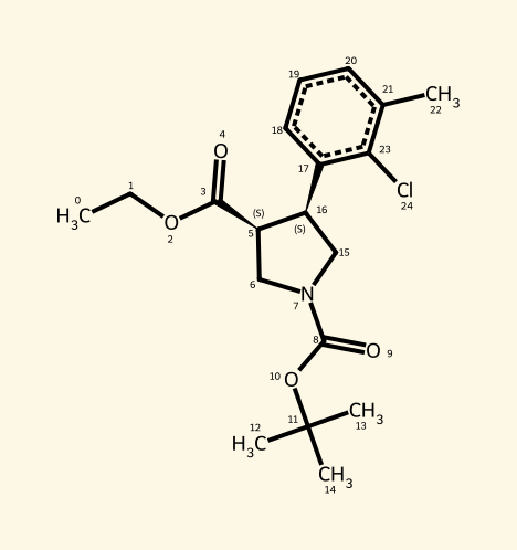 CCOC(=O)[C@@H]1CN(C(=O)OC(C)(C)C)C[C@@H]1c1cccc(C)c1Cl